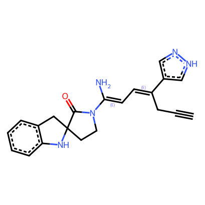 C#CC/C(=C\C=C(/N)N1CCC2(Cc3ccccc3N2)C1=O)c1cn[nH]c1